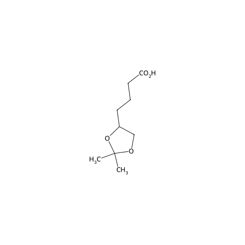 CC1(C)OCC(CCCC(=O)O)O1